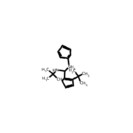 CC(C)(C)NC([SiH2]c1ccccc1)C1=C(C(C)(C)C)C=CC1